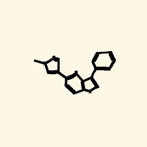 Cn1cc(-c2ccc3scc(-c4ccccc4)c3n2)cn1